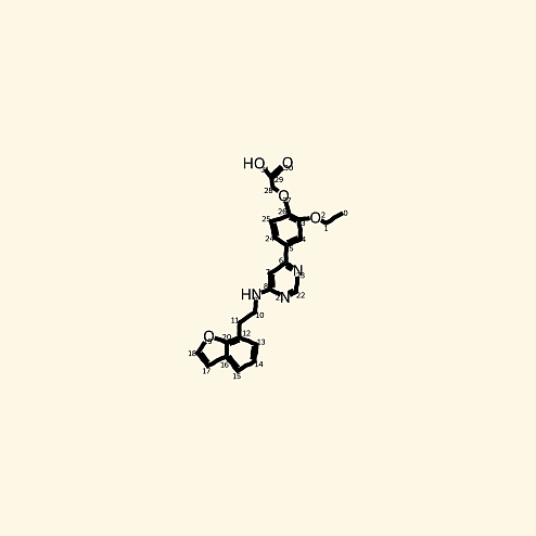 CCOc1cc(-c2cc(NCCc3cccc4ccoc34)ncn2)ccc1OCC(=O)O